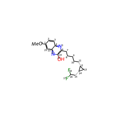 COc1ccc2nc(CCCCC[C@@H]3C[C@@H]3CC(F)F)c(O)nc2c1